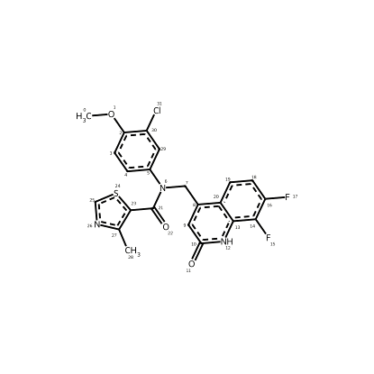 COc1ccc(N(Cc2cc(=O)[nH]c3c(F)c(F)ccc23)C(=O)c2scnc2C)cc1Cl